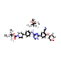 CC(C)(C)OC(=O)N1CCC(c2ccc(Nc3ncnc(-c4ccc(O[C@H]5CCOC[C@H]5F)c(C#N)c4)n3)cc2)CC1.CC(C)(C)[O-].[K+]